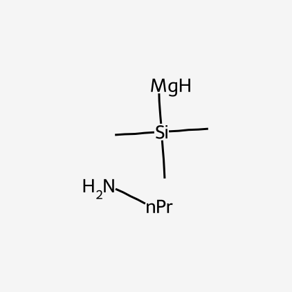 CCCN.C[Si](C)(C)[MgH]